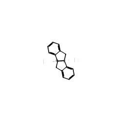 O[C@@]12Cc3ccccc3[C@]1(O)Cc1ccccc12